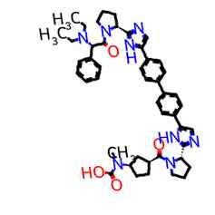 CCN(CC)[C@@H](C(=O)N1CCC[C@H]1c1ncc(-c2ccc(-c3ccc(-c4cnc([C@@H]5CCCN5C(=O)[C@H]5CC[C@@H](N(C)C(=O)O)C5)[nH]4)cc3)cc2)[nH]1)c1ccccc1